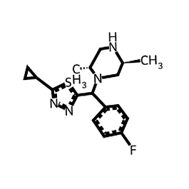 C[C@@H]1CN[C@@H](C)CN1C(c1ccc(F)cc1)c1nnc(C2CC2)s1